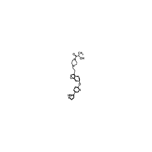 CC(O)C(=O)N1CCN(CCc2coc3cc(Oc4ccc(-c5ccn[nH]5)cn4)ccc23)CC1